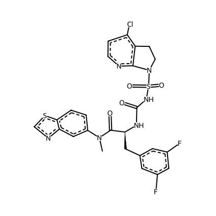 CN(C(=O)[C@H](Cc1cc(F)cc(F)c1)NC(=O)NS(=O)(=O)N1CCc2c(Cl)ccnc21)c1ccc2scnc2c1